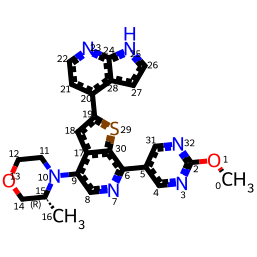 COc1ncc(-c2ncc(N3CCOC[C@H]3C)c3cc(-c4ccnc5[nH]ccc45)sc23)cn1